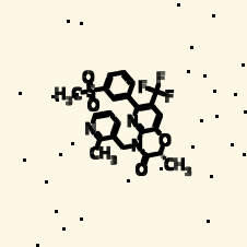 Cc1ncccc1CN1C(=O)[C@@H](C)Oc2cc(C(F)(F)F)c(-c3cccc(S(C)(=O)=O)c3)nc21